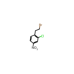 O=[N+]([O-])c1ccc(CCBr)c(Cl)c1